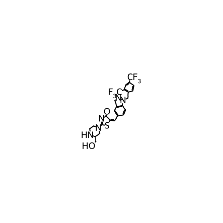 O=C1N=C(N2CCN[C@H](CO)C2)SC1=Cc1ccc2c(cnn2Cc2ccc(C(F)(F)F)cc2C(F)(F)F)c1